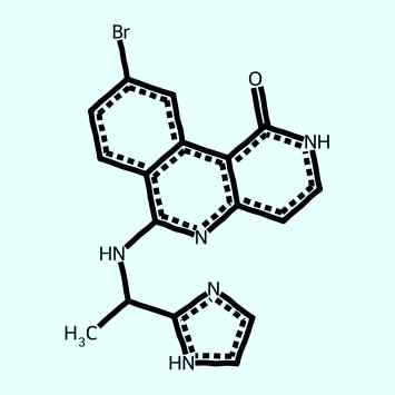 CC(Nc1nc2cc[nH]c(=O)c2c2cc(Br)ccc12)c1ncc[nH]1